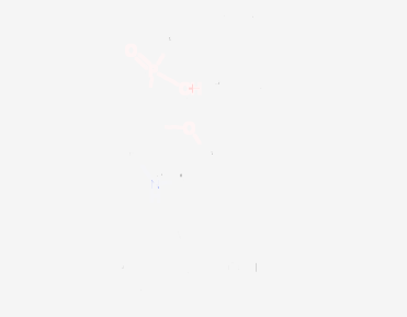 O=C(O)c1ccccc1CC1COC(CP(=O)(O)Cc2ccccc2)CN1